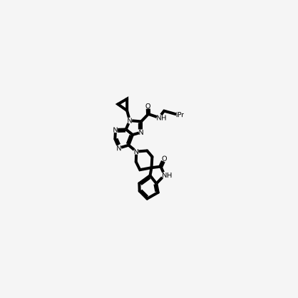 CC(C)CNC(=O)c1nc2c(N3CCC4(CC3)C(=O)Nc3ccccc34)ncnc2n1C1CC1